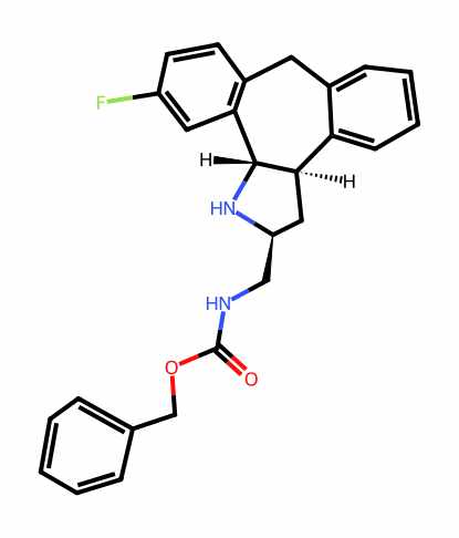 O=C(NC[C@@H]1C[C@@H]2c3ccccc3Cc3ccc(F)cc3[C@H]2N1)OCc1ccccc1